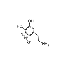 N#[N+][O-].NCCc1ccc(O)c(O)c1